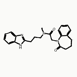 CN(CCCc1nc2ccccc2[nH]1)C(=O)CN1C(=O)CC[CH]c2ccccc21